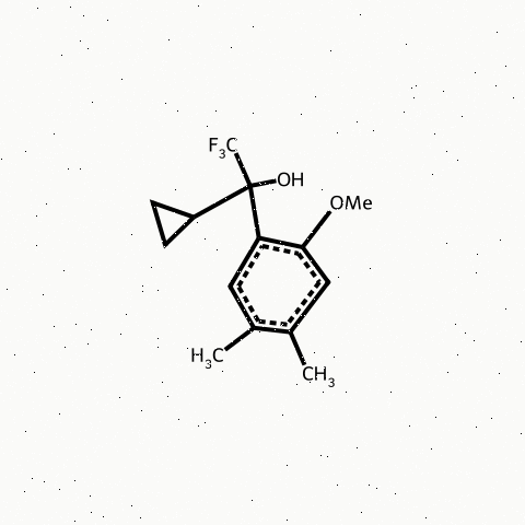 COc1cc(C)c(C)cc1C(O)(C1CC1)C(F)(F)F